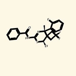 CC[C@H]1SC(NC(=O)c2ccccc2)=N[C@](C)(c2ccccc2F)C12CC(F)(F)C2